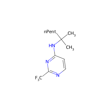 CCCCCC(C)(C)Nc1ccnc(C(F)(F)F)n1